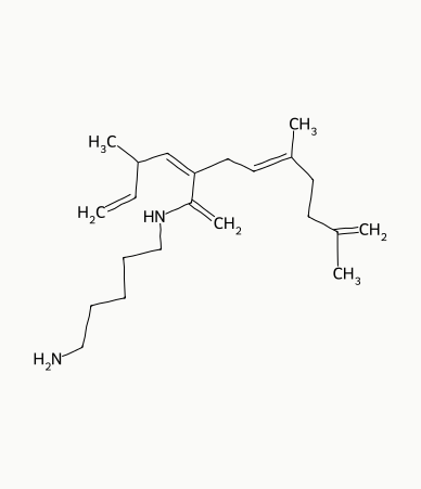 C=CC(C)/C=C(/C/C=C(\C)CCC(=C)C)C(=C)NCCCCCN